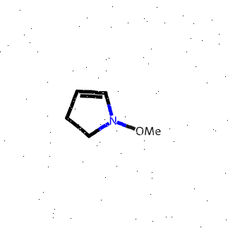 CON1C=CCC1